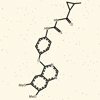 COc1cc2ncnc(Oc3ccc(NC(=S)NC(=O)C4CC4C)cc3)c2cc1OC